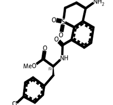 COC(=O)[C@H](Cc1ccc(Cl)cc1)NC(=O)c1cccc2c1S(=O)(=O)CCC2N